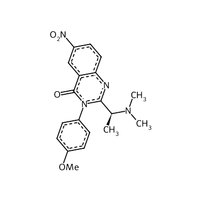 COc1ccc(-n2c([C@H](C)N(C)C)nc3ccc([N+](=O)[O-])cc3c2=O)cc1